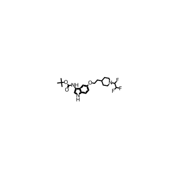 CC(C)(C)OC(=O)Nc1c[nH]c2ccc(OCCC3CCN(C(F)C(F)F)CC3)cc12